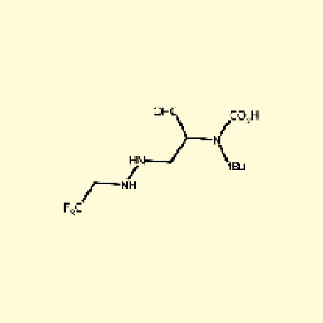 CC(C)(C)N(C(=O)O)C(C=O)CNNCC(F)(F)F